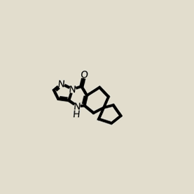 O=c1c2c([nH]c3ccnn13)CC1(CCCC1)CC2